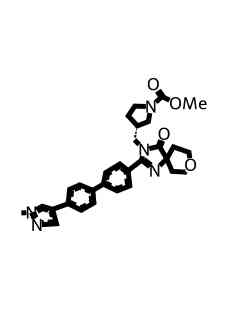 COC(=O)N1CC[C@@H](CN2C(=O)C3(CCOCC3)N=C2c2ccc(-c3ccc(-c4cnn(C)c4)cc3)cc2)C1